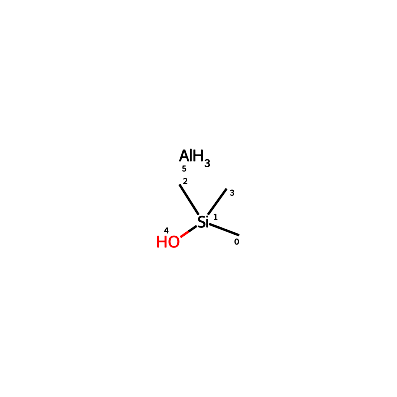 C[Si](C)(C)O.[AlH3]